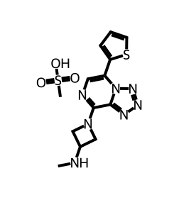 CNC1CN(c2ncc(-c3cccs3)n3nnnc23)C1.CS(=O)(=O)O